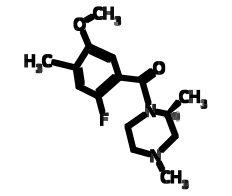 COc1cc(C(=O)N2CCN(C)C[C@@H]2C)c(F)cc1C